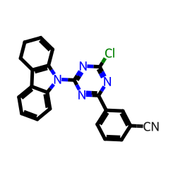 N#Cc1cccc(-c2nc(Cl)nc(-n3c4c(c5ccccc53)CCC=C4)n2)c1